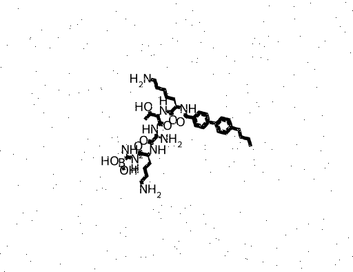 CCCCc1ccc(-c2ccc(C(=O)N[C@H](CCCCCN)C(=O)N[C@H](C(=O)N[C@@H](N)C(=O)N[C@@H](CCCCN)C(=O)N[C@@H](N)B(O)O)C(C)O)cc2)cc1